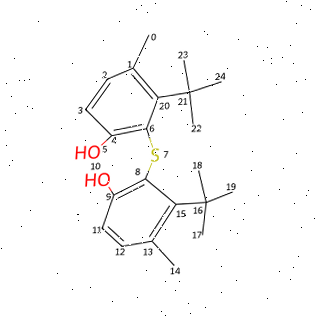 Cc1ccc(O)c(Sc2c(O)ccc(C)c2C(C)(C)C)c1C(C)(C)C